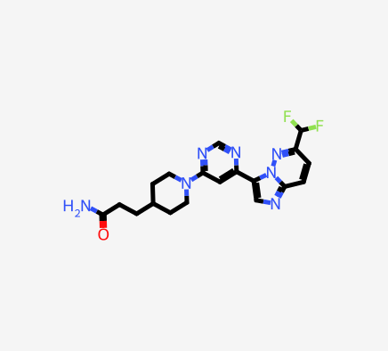 NC(=O)CCC1CCN(c2cc(-c3cnc4ccc(C(F)F)nn34)ncn2)CC1